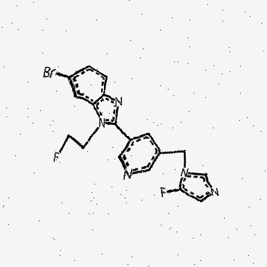 FCCn1c(-c2cncc(Cn3cncc3F)c2)nc2ccc(Br)cc21